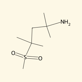 CC(C)(N)CC(C)(C)S(C)(=O)=O